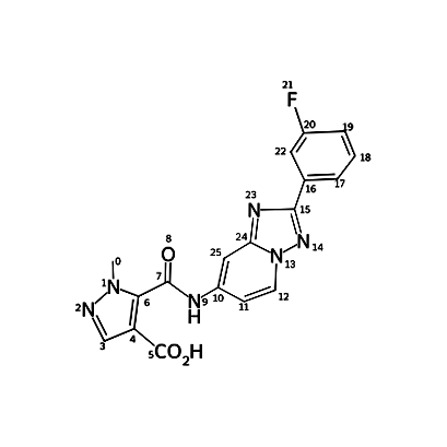 Cn1ncc(C(=O)O)c1C(=O)Nc1ccn2nc(-c3cccc(F)c3)nc2c1